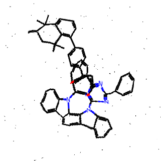 CC1CC(C)(C)c2c(-c3ccc(-c4cccc(-n5c6ccccc6c6ccc7c8ccccc8n(-c8nc(-c9ccccc9)nc(-c9ccccc9)n8)c7c65)c4)cc3)cccc2C1(C)C